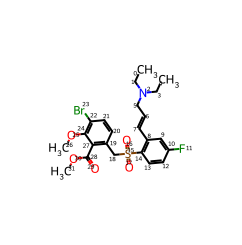 CCN(CC)C/C=C/c1cc(F)ccc1S(=O)(=O)Cc1ccc(Br)c(OC)c1C(=O)OC